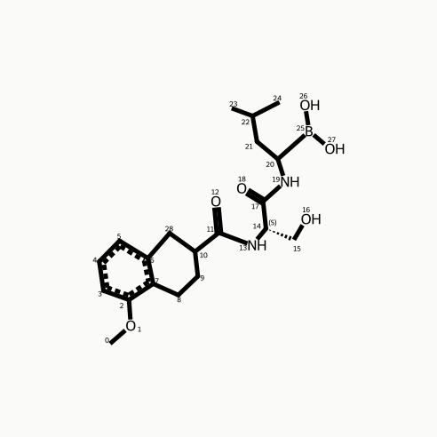 COc1cccc2c1CCC(C(=O)N[C@@H](CO)C(=O)NC(CC(C)C)B(O)O)C2